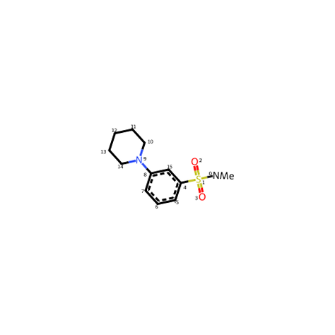 CNS(=O)(=O)c1[c]ccc(N2CCCCC2)c1